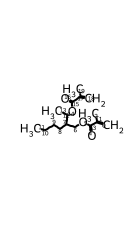 C=C(C)C(=O)OCC(CCCC)C(C)OC(=O)C(=C)C